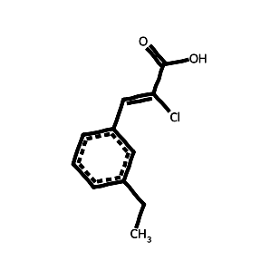 CCc1cccc(C=C(Cl)C(=O)O)c1